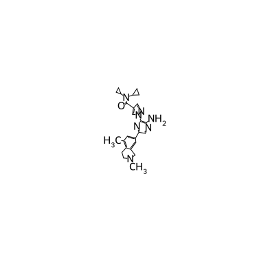 Cc1cc(-c2cnc(N)c(-n3cc(C(=O)N(C4CC4)C4CC4)cn3)n2)cc2c1CCN(C)C2